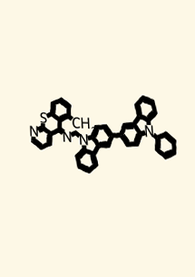 Cc1cccc2sc3ncccc3/c(=N/Cn3c4ccccc4c4cc(-c5ccc6c(c5)c5ccccc5n6-c5ccccc5)ccc43)c12